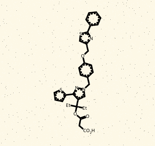 CCC(CC)(OC(=O)CC(=O)O)c1cn(Cc2ccc(OCc3csc(-c4ccccc4)n3)cc2)nc1-c1cccs1